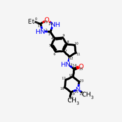 CCC1NC(c2ccc3c(c2)CC[C@H]3NC(=O)C2CCC(C)N(C)C2)NO1